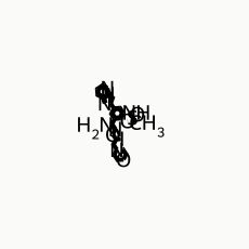 CS(=O)(=O)Nc1cc(/C(N)=N/OC(I)CN2CCOCC2)cc(-c2cn3ncccc3n2)c1